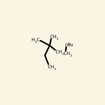 CCC(C)(C)C.CCCCC